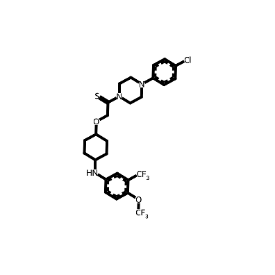 FC(F)(F)Oc1ccc(NC2CCC(OCC(=S)N3CCN(c4ccc(Cl)cc4)CC3)CC2)cc1C(F)(F)F